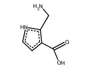 NCc1[nH]ccc1C(=O)O